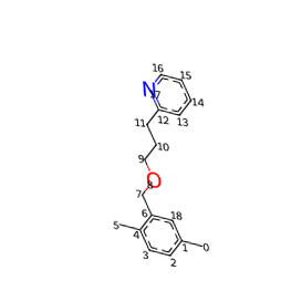 Cc1ccc(C)c(COCCCc2ccccn2)c1